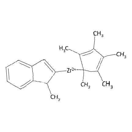 CC1=C(C)[C](C)([Zr+2][C]2=Cc3ccccc3C2C)C(C)=C1C